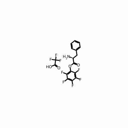 N[C@@H](Cc1ccccc1)C(=O)Oc1c(F)c(F)c(F)c(F)c1F.O=C(O)C(F)(F)F